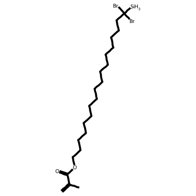 C=C(C)C(=O)OCCCCCCCCCCCCCCCCCC([SiH3])(Br)Br